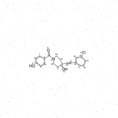 O=C(c1ccc(O)cc1)N1CCC(O)(C#Cc2cccc(Cl)c2)CC1